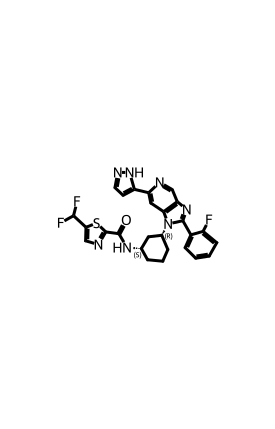 O=C(N[C@H]1CCC[C@@H](n2c(-c3ccccc3F)nc3cnc(-c4ccn[nH]4)cc32)C1)c1ncc(C(F)F)s1